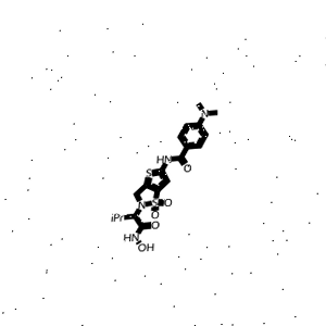 CC(C)C(C(=O)NO)N1Cc2sc(NC(=O)c3ccc(N(C)C)cc3)cc2S1(=O)=O